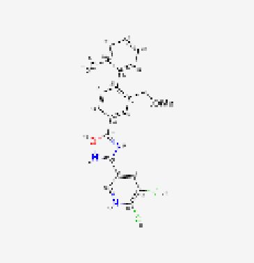 COCc1cc(-c2nc(-c3cnc(Cl)c(Cl)c3)no2)ccc1-c1ccccc1C